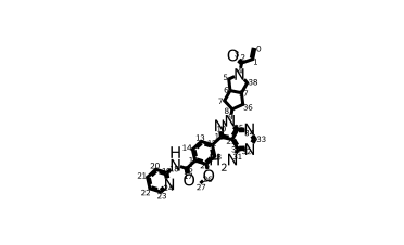 C=CC(=O)N1CC2CC(n3nc(-c4ccc(C(=O)Nc5ccccn5)c(OC)c4)c4c(N)ncnc43)CC2C1